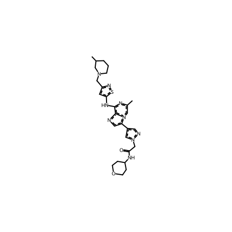 Cc1cn2c(-c3cnn(CC(=O)NC4CCOCC4)c3)cnc2c(Nc2cc(CN3CCCC(C)C3)ns2)n1